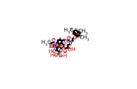 CC(C)C(=O)Nc1ccc(COC(=O)N(CCOC23CC4(C)CC(C)(CC(C)(C4)C2)C3)CC[C@H](O)CO)c(CC[C@@H]2O[C@H](C(=O)O)[C@@H](O)[C@H](O)[C@H]2O)c1